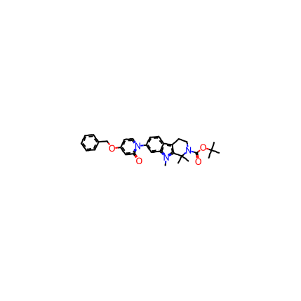 Cn1c2c(c3ccc(-n4ccc(OCc5ccccc5)cc4=O)cc31)CCN(C(=O)OC(C)(C)C)C2(C)C